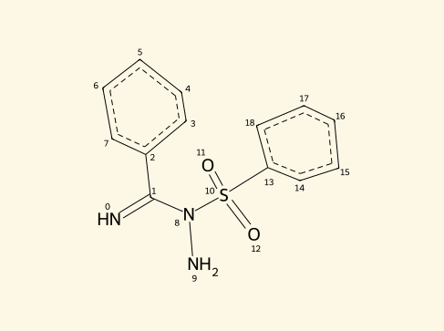 N=C(c1ccccc1)N(N)S(=O)(=O)c1ccccc1